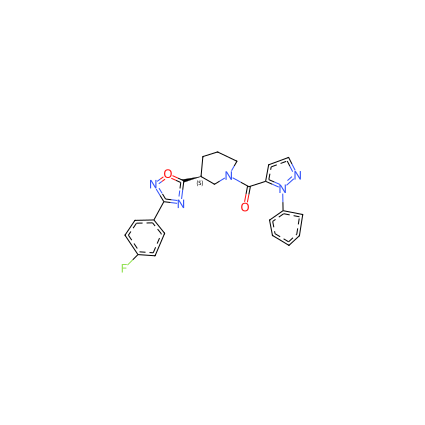 O=C(c1ccnn1-c1ccccc1)N1CCC[C@H](c2nc(-c3ccc(F)cc3)no2)C1